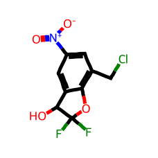 O=[N+]([O-])c1cc(CCl)c2c(c1)C(O)C(F)(F)O2